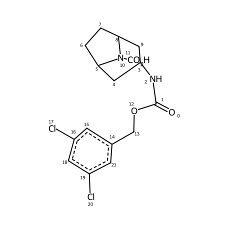 O=C(NC1CC2CCC(C1)N2C(=O)O)OCc1cc(Cl)cc(Cl)c1